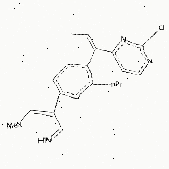 C/C=C(/c1ccnc(Cl)n1)c1ccc(/C(C=N)=C/NC)cc1CCC